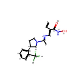 C=C/C(=C\N=C(/C)N1CC[C@H](c2ccccc2C(F)(F)F)C1)C(=O)NO